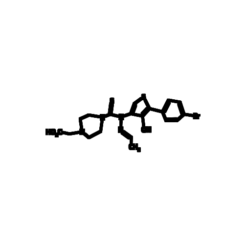 CC=NN(C(=S)N1CCN(CC(=O)O)CC1)c1csc(-c2ccc(Br)cc2)c1O